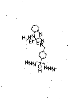 CCC1(CC)C(N=NCc2ccc(C(O)(CN=[N+]=[N-])CN=[N+]=[N-])cc2)=Nc2ccccc2N1N